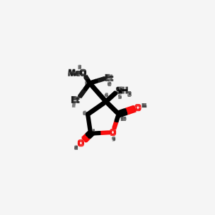 CCC(CC)(OC)C1([SiH3])CC(=O)OC1=O